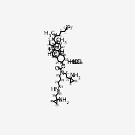 CC(C)CCC[C@@H](C)[C@H]1CC[C@H]2[C@@H]3CC=C4C[C@@H](OC(=O)N(CCCCNCCC5(N)CC5)CCC5(N)CC5)CC[C@]4(C)[C@H]3CC[C@]12C.Cl.Cl.Cl